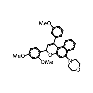 COc1cccc(C2=CC(c3ccc(OC)cc3OC)Oc3cc(N4CCOCC4)c4ccccc4c32)c1